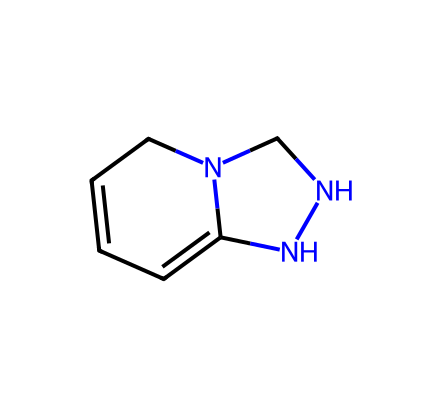 C1=CCN2CNNC2=C1